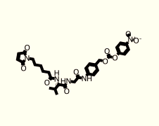 CC(C)[C@H](NC(=O)CCCCCN1C(=O)C=CC1=O)C(=O)NCC(=O)Nc1ccc(COC(=O)Oc2ccc([N+](=O)[O-])cc2)cc1